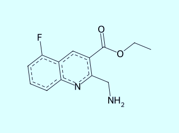 CCOC(=O)c1cc2c(F)cccc2nc1CN